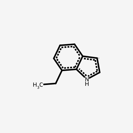 CCc1cccc2[c]c[nH]c12